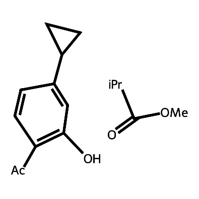 CC(=O)c1ccc(C2CC2)cc1O.COC(=O)C(C)C